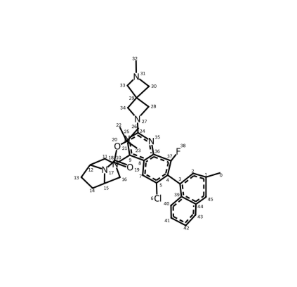 Cc1cc(-c2c(Cl)cc3c(N4CC5CCC(C4)N5C(=O)OC(C)(C)C)nc(N4CC5(CN(C)C5)C4)nc3c2F)c2ccccc2c1